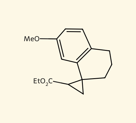 CCOC(=O)C1CC12CCCc1ccc(OC)cc12